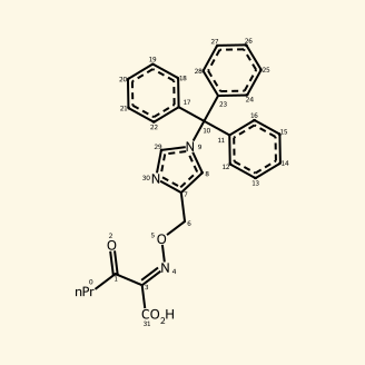 CCCC(=O)C(=NOCc1cn(C(c2ccccc2)(c2ccccc2)c2ccccc2)cn1)C(=O)O